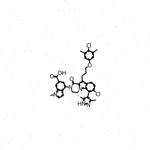 Cc1cc(OCCCc2c3n(c4c(-c5c(C)n[nH]c5C)c(Cl)ccc24)[C@H](C)CN(c2cc(C(=O)O)cc4c2ccn4C)C3=O)cc(C)c1Cl